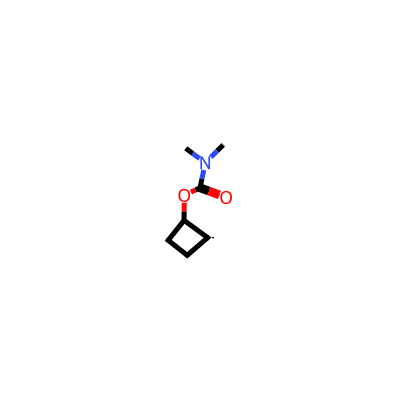 CN(C)C(=O)OC1[CH]CC1